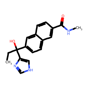 CCC(O)(c1ccc2cc(C(=O)NC)ccc2c1)c1c[nH]cn1